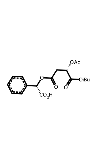 CC(=O)O[C@@H](CC(=O)O[C@H](C(=O)O)c1ccccc1)C(=O)OCC(C)C